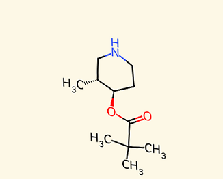 C[C@@H]1CNCC[C@H]1OC(=O)C(C)(C)C